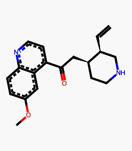 C=C[C@H]1CNCC[C@H]1CC(=O)c1ccnc2ccc(OC)cc12